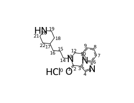 Cl.O=C1c2cnc3cccc(n23)CN1CCCC1CCNCC1